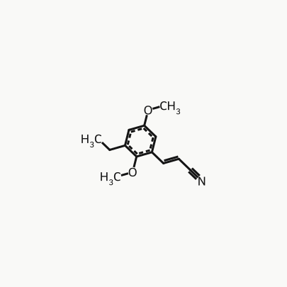 CCc1cc(OC)cc(/C=C/C#N)c1OC